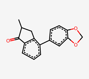 CC1Cc2c(cccc2-c2ccc3c(c2)OCO3)C1=O